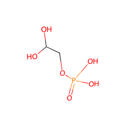 O=P(O)(O)OCC(O)O